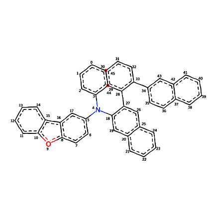 c1ccc(N(c2ccc3oc4ccccc4c3c2)c2cc3ccccc3cc2-c2ccccc2-c2ccc3ccccc3c2)cc1